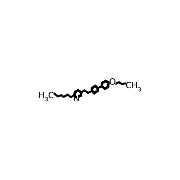 CCCCCCCc1ccc(CCc2ccc(-c3ccc(OCCCCC)cc3)cc2)cn1